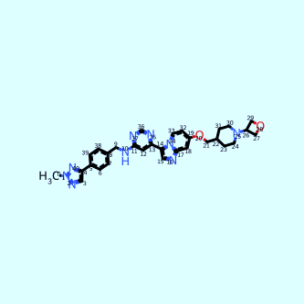 Cn1ncc(-c2ccc(CNc3cc(-c4cnc5cc(OCC6CCN(C7COC7)CC6)ccn45)ncn3)cc2)n1